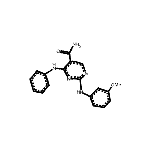 COc1cccc(Nc2ncc(C(N)=O)c(Nc3ccccc3)n2)c1